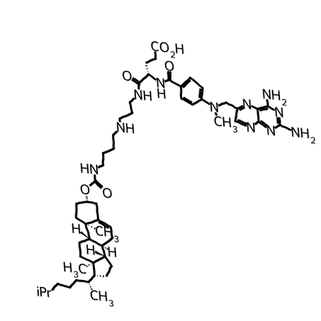 CC(C)CCC[C@@H](C)[C@H]1CC[C@H]2[C@@H]3CC=C4C[C@@H](OC(=O)NCCCCNCCCNC(=O)[C@H](CCC(=O)O)NC(=O)c5ccc(N(C)Cc6cnc7nc(N)nc(N)c7n6)cc5)CC[C@]4(C)[C@H]3CC[C@]12C